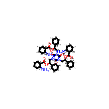 Nc1ccccc1C(=O)OC(Cn1c(=O)n(CC(OC(=O)c2ccccc2N)c2ccccc2)c(=O)n(CC(OC(=O)c2ccccc2N)c2ccccc2)c1=O)c1ccccc1